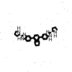 c1cc2[nH]c([C@@H]3CCCN3)nc2cc1-c1ccc(-c2ccc3[nH]c([C@@H]4CCCN4)nc3c2)c2c1C1CCC2C1